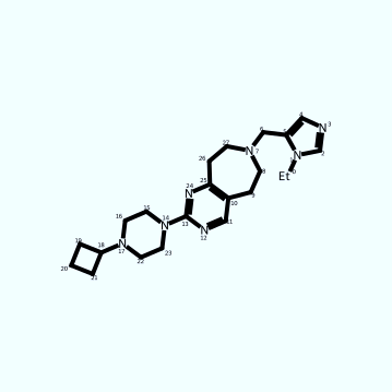 CCn1cncc1CN1CCc2cnc(N3CCN(C4CCC4)CC3)nc2CC1